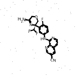 N#Cc1cnc2c(Nc3ccc(F)c([C@@]4(C(F)F)COCC(N)=N4)c3)nccc2c1